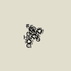 Cn1c(=O)cc(Nc2ccc(Cl)cc2)c2c(=O)n(CC(F)F)c(=O)n(-c3ccccc3)c21